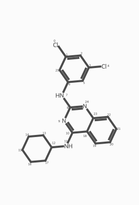 Clc1cc(Cl)cc(Nc2nc(NC3CCCCC3)c3ccccc3n2)c1